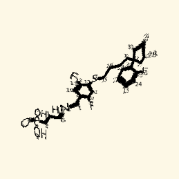 O=P(O)(O)CCCNCc1cc(F)c(SCCCCC2(c3ccccc3F)CCCC2)cc1F